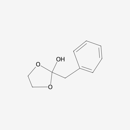 OC1(Cc2ccccc2)OCCO1